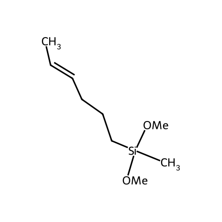 CC=CCCC[Si](C)(OC)OC